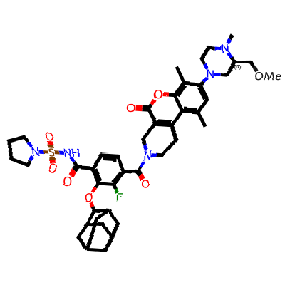 COC[C@H]1CN(c2cc(C)c3c4c(c(=O)oc3c2C)CN(C(=O)c2ccc(C(=O)NS(=O)(=O)N3CCCC3)c(OC3C5CC6CC(C5)CC3C6)c2F)CC4)CCN1C